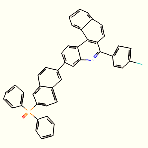 O=P(c1ccccc1)(c1ccccc1)c1ccc2cc(-c3ccc4c(c3)nc(-c3ccc(F)cc3)c3ccc5ccccc5c34)ccc2c1